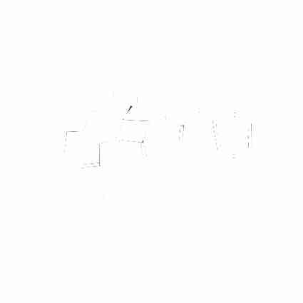 CC(Br)C1=C(C(=O)OCC(Cl)(Cl)Cl)N2C(=O)C(NC(=O)Cc3ccccc3)[C@H]2[S+]([O-])C1